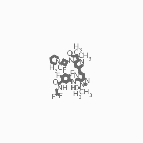 CC(C)n1cnc2cc(-c3cnc4c(c3)N([C@H]3C[C@@](C)(N5CCCCC5)C3)C(=O)C4(C)C)nc(Nc3cc(C(=O)NCC(F)F)c(F)c(F)c3F)c21